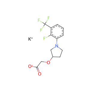 O=C([O-])COC1CCN(c2cccc(C(F)(F)F)c2F)C1.[K+]